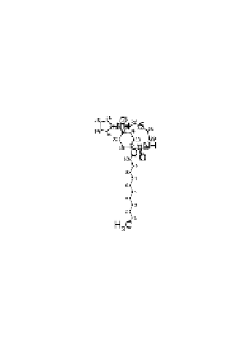 CCCCCCCCCCCOC12CCC(NC3CCCC3)(CC1)C(=O)CSCCNC2=O